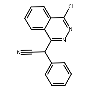 N#CC(c1ccccc1)c1nnc(Cl)c2ccccc12